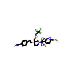 Cc1ccc(C(C)(C)N2CC[C@@](CCc3ccc(C#N)cc3)(COCC(F)(F)F)C2)cn1